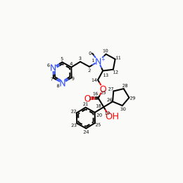 C[N+]1(CCc2cncnc2)CCCC1COC(=O)C(O)(c1ccccc1)C1CCCC1